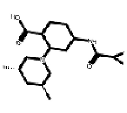 C[C@H]1C[C@H](C)CN(C2CC(NC(=O)C3CC3)CCC2C(=O)O)C1